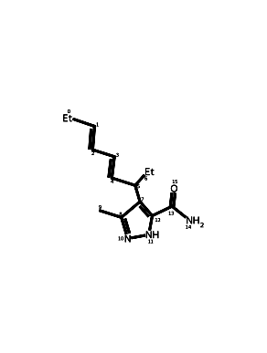 CCC=CC=CC(CC)c1c(C)n[nH]c1C(N)=O